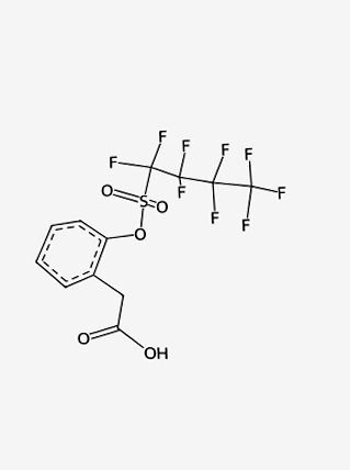 O=C(O)Cc1ccccc1OS(=O)(=O)C(F)(F)C(F)(F)C(F)(F)C(F)(F)F